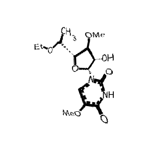 CCOC(C)[C@H]1O[C@@H](n2cc(OC)c(=O)[nH]c2=O)[C@@H](O)C1OC